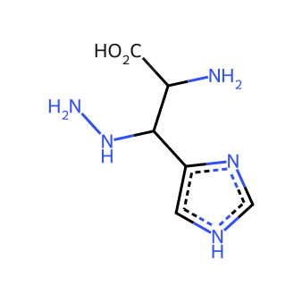 NNC(c1c[nH]cn1)C(N)C(=O)O